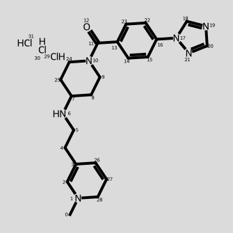 CN1C=C(CCNC2CCN(C(=O)c3ccc(-n4cncn4)cc3)CC2)C=CC1.Cl.Cl.Cl